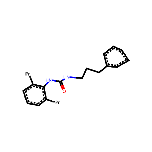 CC(C)c1cccc(C(C)C)c1NC(=O)NCCCc1ccccc1